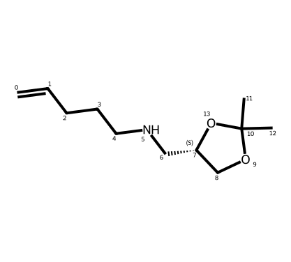 C=CCCCNC[C@H]1COC(C)(C)O1